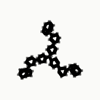 c1cc(-c2ccc(N(c3ccc(-c4cccc(N5C6CC7CC(C6)CC5C7)c4)cc3)c3ccc(-c4cccc(N5C6CC7CC(C6)CC5C7)c4)cc3)cc2)cc(N2C3CC4CC(C3)CC2C4)c1